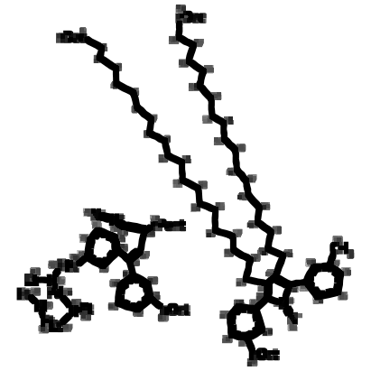 CCCCCCCCCCCCCCCCCCCCCCCCCCCCCCC1=C(c2cccc(CCCCCCCC)c2)[N+](=[N-])C(c2cccc(C)c2)=C1CCCCCCCCCCCCCCCCCCCCCCCCCCCC.CCCCCCCCc1cccc(C(=CC(=C=[N+]=[N-])CCCCC)c2cccc(CC)c2)c1.CC[N](CC)[Pd][N](CC)CC.C[CH2][Ni][CH2]C